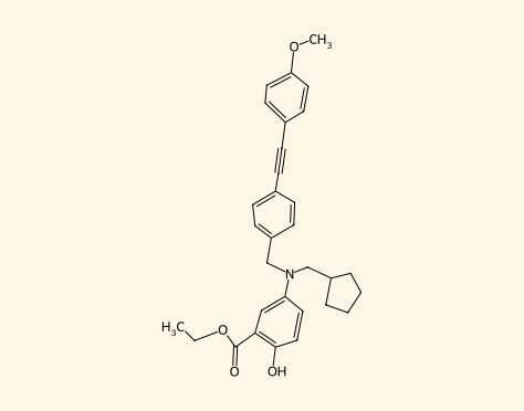 CCOC(=O)c1cc(N(Cc2ccc(C#Cc3ccc(OC)cc3)cc2)CC2CCCC2)ccc1O